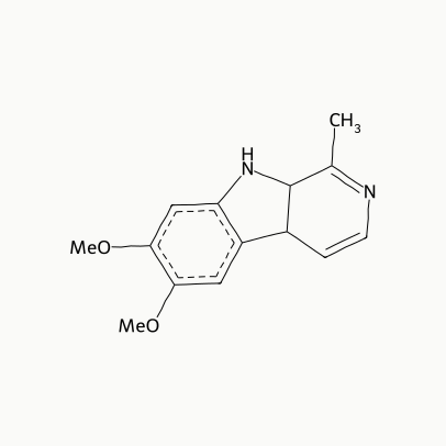 COc1cc2c(cc1OC)C1C=CN=C(C)C1N2